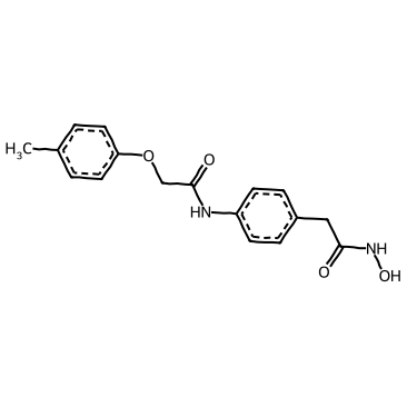 Cc1ccc(OCC(=O)Nc2ccc(CC(=O)NO)cc2)cc1